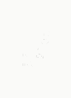 CC1CC(n2cnc3cc(-c4ccc(C(F)(F)F)cc4)ccc32)CC(C)(C)C1